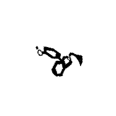 COc1cccc(C23CC=CCC2CN(CC2CC2)C3)c1